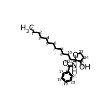 CCCCCCCCCCCCC1(NC(=O)c2ccccc2)OCCC1O